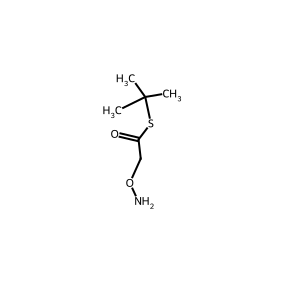 CC(C)(C)SC(=O)CON